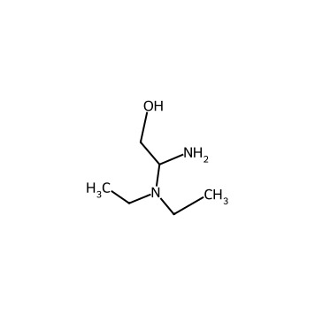 CCN(CC)C(N)CO